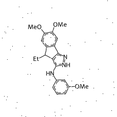 CCC1c2cc(OC)c(OC)cc2-c2n[nH]c(Nc3cccc(OC)c3)c21